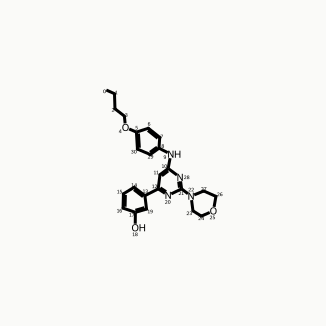 CCCCOc1ccc(Nc2cc(-c3cccc(O)c3)nc(N3CCOCC3)n2)cc1